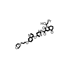 CC(C)CC(O)n1c2c(cc(C(=O)Nc3ccc(Oc4ccnc5cc(OCCCN6CCOCC6)ccc45)cn3)c1=O)C(=O)CCC2